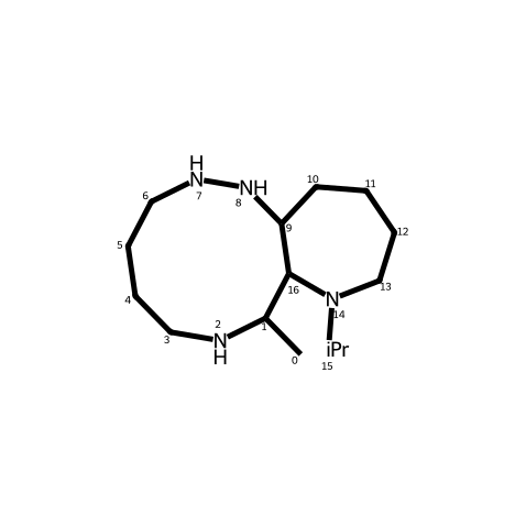 CC1NCCCCNNC2CCCCN(C(C)C)C12